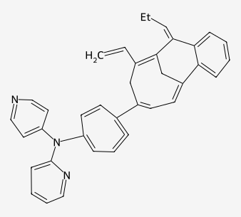 C=C/C1=C2/C/C(=C\C=C(\C3=C=CC=C(N(c4ccncc4)c4ccccn4)C=C3)C1)c1ccccc1/C2=C/CC